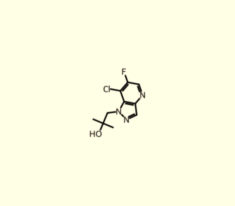 CC(C)(O)Cn1ncc2ncc(F)c(Cl)c21